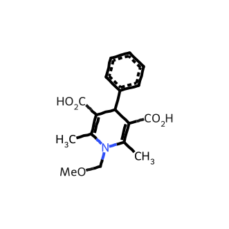 COCN1C(C)=C(C(=O)O)C(c2ccccc2)C(C(=O)O)=C1C